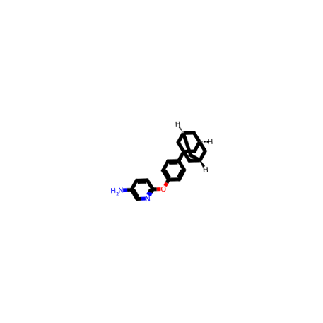 Nc1ccc(Oc2ccc(C34C[C@H]5C[C@H](C3)C[C@@H](C4)C5)cc2)nc1